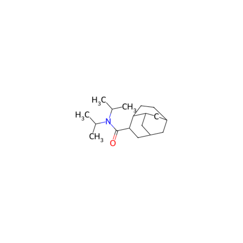 CC(C)N(C(=O)C1CC2CC3CCC1C(C3)C2)C(C)C